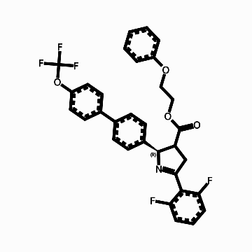 O=C(OCCOc1ccccc1)C1CC(c2c(F)cccc2F)=N[C@H]1c1ccc(-c2ccc(OC(F)(F)F)cc2)cc1